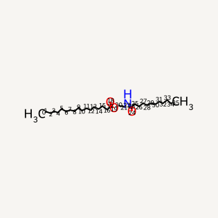 CCCCCCCCCCCCCCCCCC(=O)OCCNC(=O)CCCCCCCCCCC